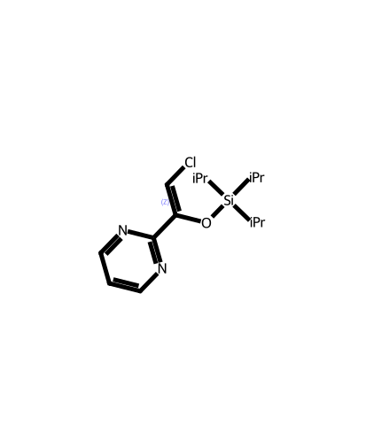 CC(C)[Si](O/C(=C\Cl)c1ncccn1)(C(C)C)C(C)C